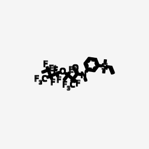 C=C[Si](C)(C)c1cccc(N(C)C(=O)C(F)(C(F)(F)F)C(C)(CC)OC(F)(F)C(F)(C(F)(F)F)C(C)(F)CC)c1